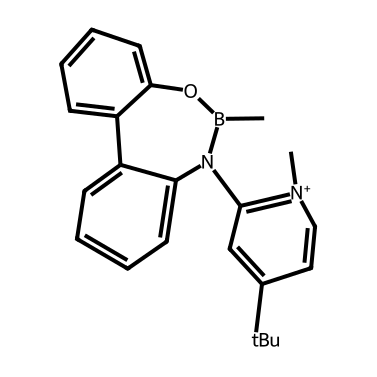 CB1Oc2ccccc2-c2ccccc2N1c1cc(C(C)(C)C)cc[n+]1C